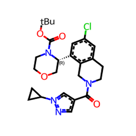 CC(C)(C)OC(=O)N1CCOC[C@H]1c1cc(Cl)cc2c1CN(C(=O)c1cnn(C3CC3)c1)CC2